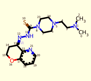 CN(C)CCN1CCN(C(=S)N/N=C2/CCOc3cccnc32)CC1